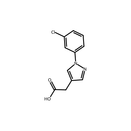 O=C(O)Cc1cnn(-c2cccc(Cl)c2)c1